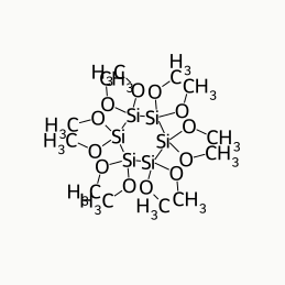 CO[Si]1(OC)[Si](OC)(OC)[Si](OC)(OC)[Si](OC)(OC)[Si](OC)(OC)[Si]1(OC)OC